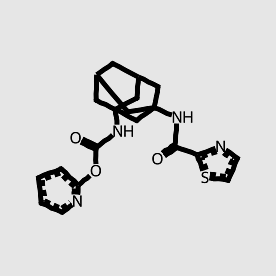 O=C(NC12CC3CC(C1)CC(NC(=O)c1nccs1)(C3)C2)Oc1ccccn1